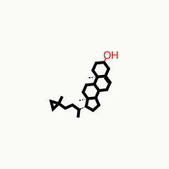 CC(CCC1(C)CC1)[C@H]1CCC2C3CC=C4C[C@@H](O)CC[C@]4(C)C3CC[C@@]21C